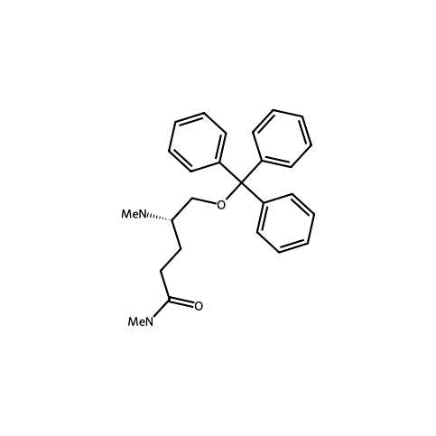 CNC(=O)CC[C@@H](COC(c1ccccc1)(c1ccccc1)c1ccccc1)NC